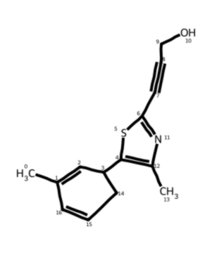 CC1=CC(c2sc(C#CCO)nc2C)CC=C1